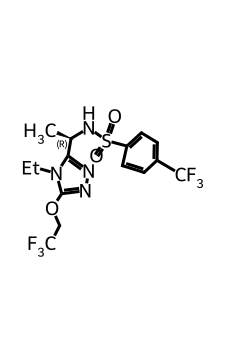 CCn1c(OCC(F)(F)F)nnc1[C@@H](C)NS(=O)(=O)c1ccc(C(F)(F)F)cc1